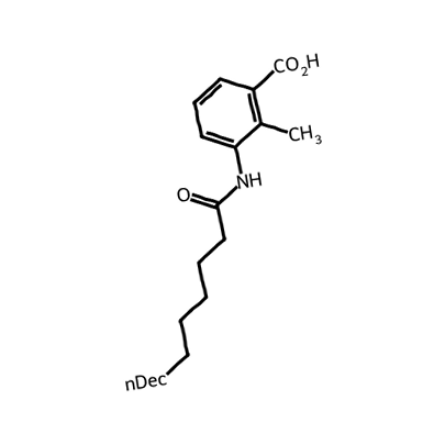 CCCCCCCCCCCCCCCC(=O)Nc1cccc(C(=O)O)c1C